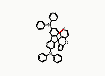 c1ccc(N(c2ccccc2)c2ccc3c(c2)-c2ccc(N(c4ccccc4)c4ccccc4)cc2C32c3ccccc3Oc3ccc4ccccc4c32)cc1